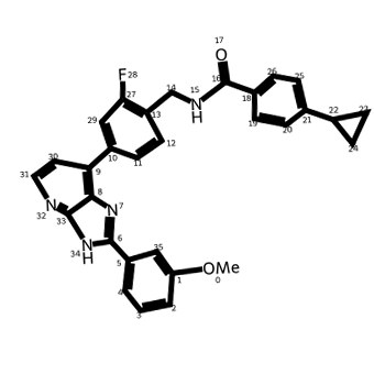 COc1cccc(-c2nc3c(-c4ccc(CNC(=O)c5ccc(C6CC6)cc5)c(F)c4)ccnc3[nH]2)c1